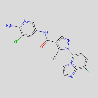 Nc1ncc(NC(=O)c2cnn(-c3ccc(F)c4nccn34)c2C(F)(F)F)cc1Cl